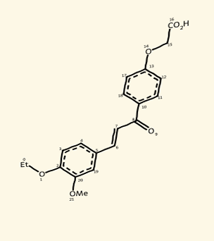 CCOc1ccc(/C=C/C(=O)c2ccc(OCC(=O)O)cc2)cc1OC